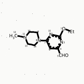 CCOc1nc(C=O)cc(N2CCN(C)CC2)n1